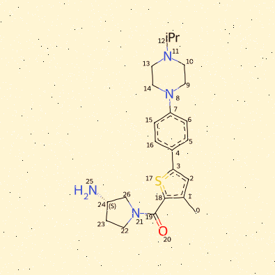 Cc1cc(-c2ccc(N3CCN(C(C)C)CC3)cc2)sc1C(=O)N1CC[C@H](N)C1